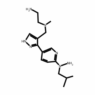 CC(C)CN(N)c1ccc(-c2n[nH]cc2CN(C)CCN)cn1